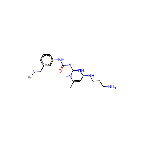 CCNCc1cccc(NC(=O)NC2NC(C)=CC(NCCCN)N2)c1